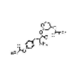 CCCC(=O)Oc1ccc(CC(N)C(=O)OC2CC(OC(=O)CCC)CCO2)cc1